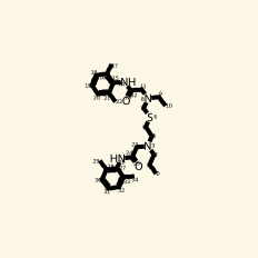 CCCN(CCSCN(CC)CC(=O)Nc1c(C)cccc1C)CC(=O)Nc1c(C)cccc1C